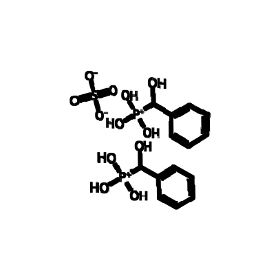 O=S(=O)([O-])[O-].OC(c1ccccc1)[P+](O)(O)O.OC(c1ccccc1)[P+](O)(O)O